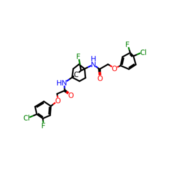 O=C(COc1ccc(Cl)c(F)c1)NC12CCC(NC(=O)COc3ccc(Cl)c(F)c3)(CC1)C(F)C2